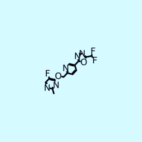 Cc1ncc(F)c(OCc2ccc(-c3nnc(C(F)F)o3)cn2)n1